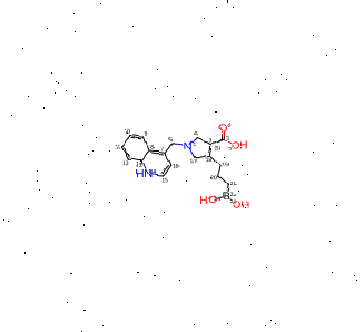 O=C(O)[C@@H]1CN(CC2=C3C=CC=CC3NC=C2)CC1CCCB(O)O